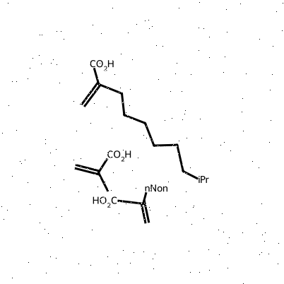 C=C(C)C(=O)O.C=C(CCCCCCC(C)C)C(=O)O.C=C(CCCCCCCCC)C(=O)O